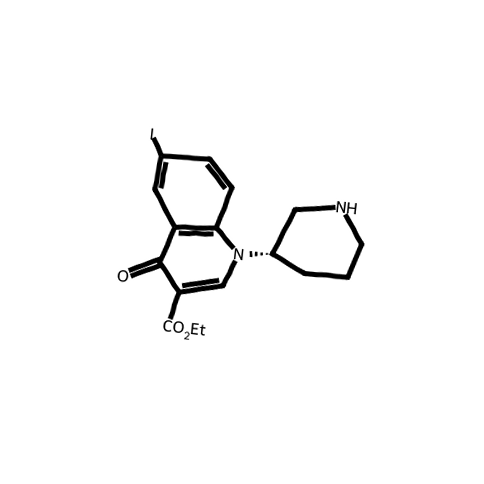 CCOC(=O)c1cn([C@H]2CCCNC2)c2ccc(I)cc2c1=O